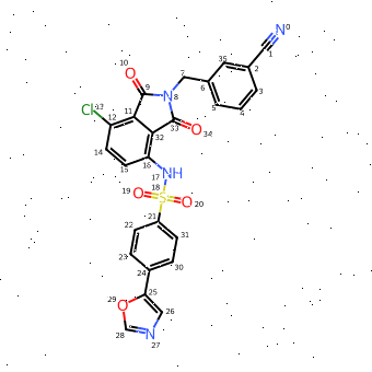 N#Cc1cccc(CN2C(=O)c3c(Cl)ccc(NS(=O)(=O)c4ccc(-c5cnco5)cc4)c3C2=O)c1